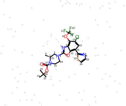 C[C@H]1CN(c2nc3c(OC(F)(F)F)c(Cl)cc(-c4nccs4)c3o2)CCN1C(=O)OC(C)(C)C